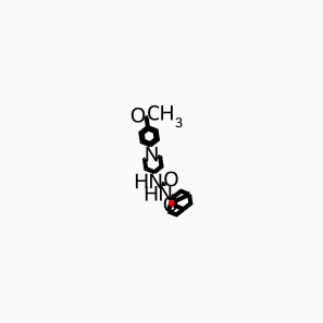 CC(=O)c1ccc(N2CCC(NC(=O)NC34CC5CC(CC(C5)O3)C4)CC2)cc1